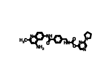 Cc1cc(N)c2cc(NC(=O)c3ccc(CNC(=O)Oc4cncc(N5CCCC5)n4)cc3)ccc2n1